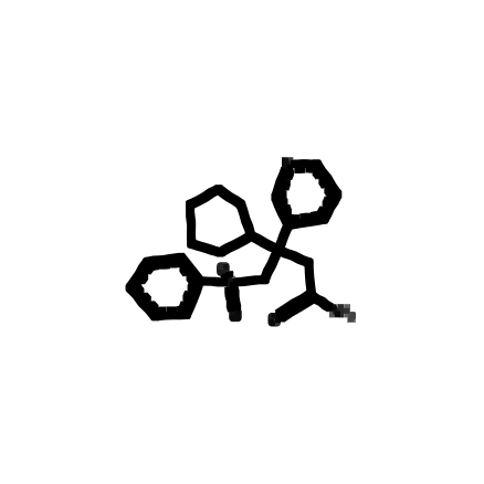 NC(=O)CC(CS(=O)(=O)c1ccccc1)(c1cccnc1)C1CCCCC1